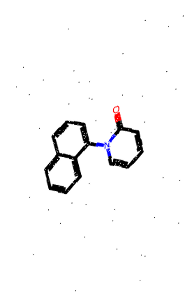 O=c1ccccn1-c1cccc2ccccc12